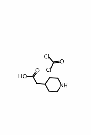 O=C(Cl)Cl.O=C(O)CC1CCNCC1